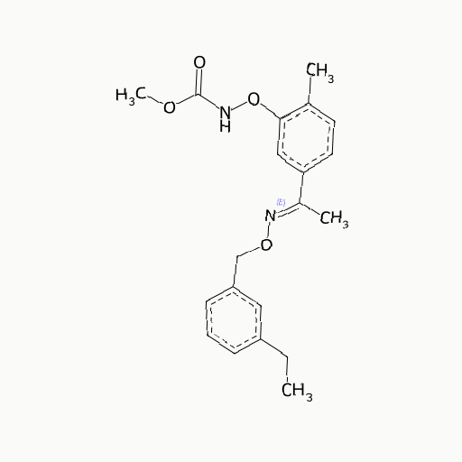 CCc1cccc(CO/N=C(\C)c2ccc(C)c(ONC(=O)OC)c2)c1